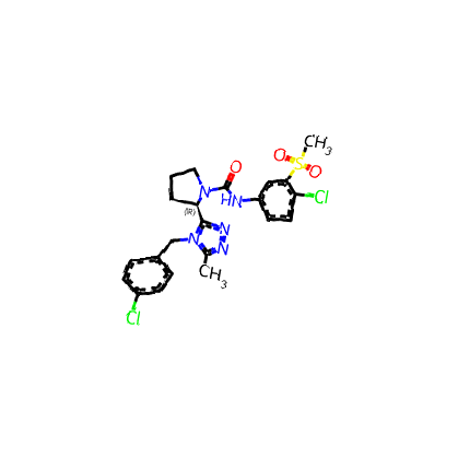 Cc1nnc([C@H]2CCCN2C(=O)Nc2ccc(Cl)c(S(C)(=O)=O)c2)n1Cc1ccc(Cl)cc1